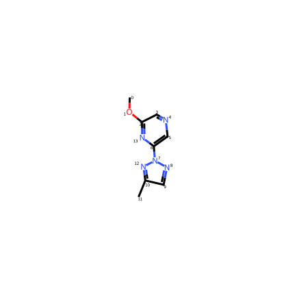 COc1cncc(-n2ncc(C)n2)n1